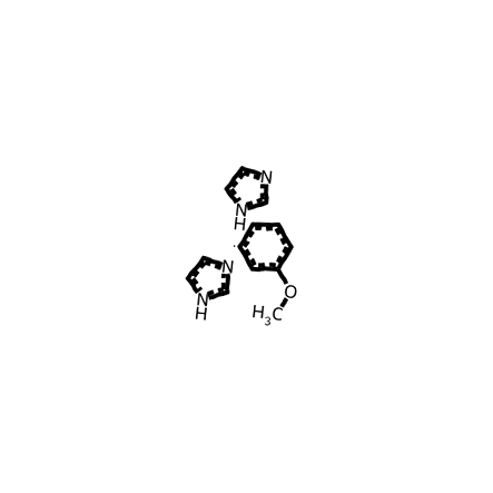 COc1c[c]ccc1.c1c[nH]cn1.c1c[nH]cn1